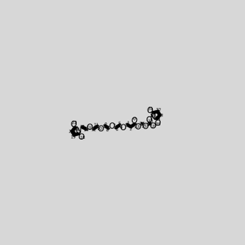 O=C(CCOCCOCCOCCOCCN1C(=O)C=CC1=O)OCOC(=O)ON1C(=O)CCC1=O